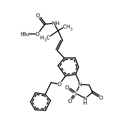 CC(C)(C=Cc1ccc(N2CC(=O)NS2(=O)=O)c(OCc2ccccc2)c1)NC(=O)OC(C)(C)C